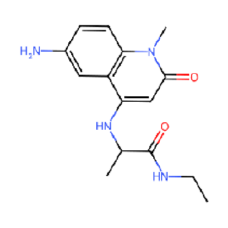 CCNC(=O)C(C)Nc1cc(=O)n(C)c2ccc(N)cc12